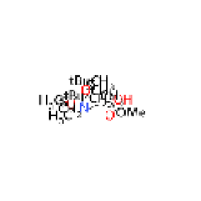 COC(=O)C(O)C(C)CCCN(CC(C)O[Si](C)(C)C(C)(C)C)CC(C)O[Si](C)(C)C(C)(C)C